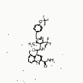 Cc1c(NC(=O)c2cc(C(N)=O)nc3cccc(F)c23)c(C(F)(F)F)nn1Cc1ccc(OC(F)(F)F)cc1